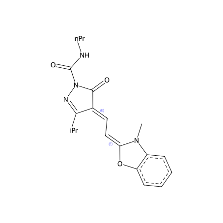 CCCNC(=O)N1N=C(C(C)C)/C(=C\C=C2\Oc3ccccc3N2C)C1=O